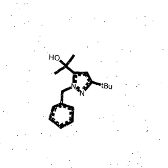 CC(C)(C)c1cc(C(C)(C)O)n(Cc2ccccc2)n1